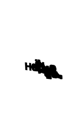 CCOC(=O)C(Cc1ccc(O)c(C)c1)OC